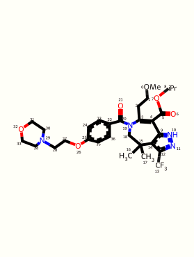 COCCC1=C(C(=O)OC(C)C)c2[nH]nc(C(F)(F)F)c2C(C)(C)CN1C(=O)c1ccc(OCCN2CCOCC2)cc1